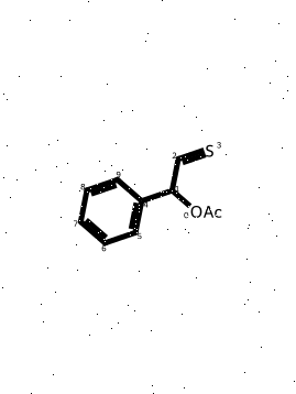 CC(=O)OC(C=S)c1ccccc1